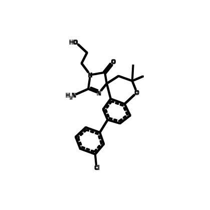 CC1(C)CC2(N=C(N)N(CCO)C2=O)c2cc(-c3cccc(Cl)c3)ccc2O1